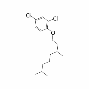 CC(C)CCCC(C)CCOc1ccc(Cl)cc1Cl